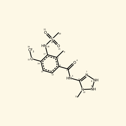 Cc1c(C(=O)NC2=NNNN2C)ccc(OC(F)(F)F)c1NS(C)(=O)=O